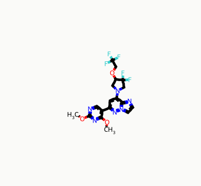 COc1ncc(-c2cc(N3CC(OCC(F)(F)F)C(F)(F)C3)c3nccn3n2)c(OC)n1